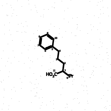 CC(C)C(CCCc1ccccc1)C(=O)O